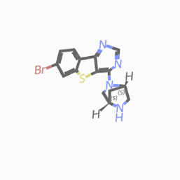 Brc1ccc2c(c1)sc1c(N3C[C@@H]4C[C@H]3CN4)ncnc12